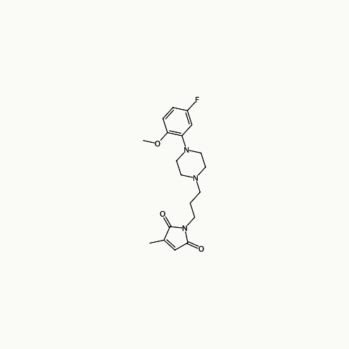 COc1ccc(F)cc1N1CCN(CCCN2C(=O)C=C(C)C2=O)CC1